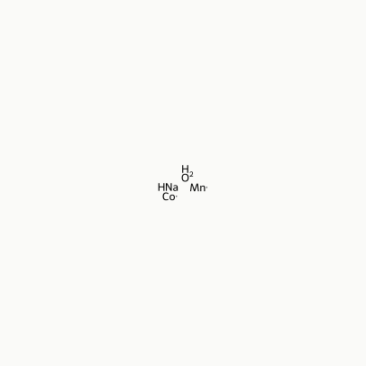 O.[Co].[Mn].[NaH]